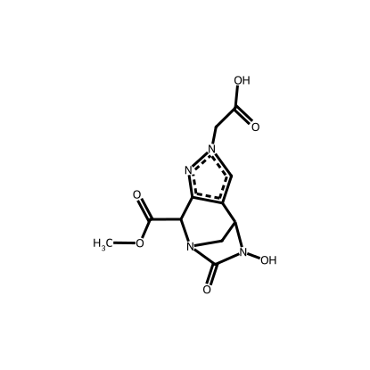 COC(=O)C1c2nn(CC(=O)O)cc2C2CN1C(=O)N2O